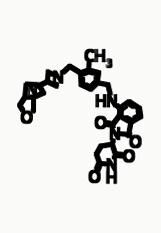 Cc1cc(CNc2cccc3c2C(=O)N(C2CCC(=O)NC2=O)C3=O)ccc1CN1CC(N2C3CCC24COCC34)C1